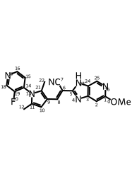 COc1cc2nc(C(C#N)=Cc3cc(C)n(-c4ccncc4F)c3C)[nH]c2cn1